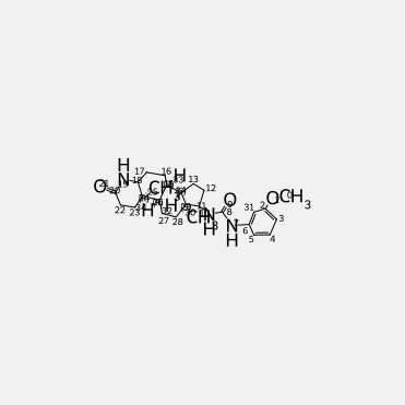 COc1cccc(NC(=O)NC2CC[C@H]3[C@@H]4CCC5NC(=O)CC[C@]5(C)[C@@H]4CC[C@]23C)c1